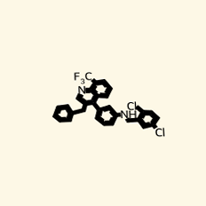 FC(F)(F)c1cccc2c(-c3cccc(NCc4cc(Cl)ccc4Cl)c3)c(Cc3ccccc3)cnc12